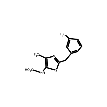 O=C(O)Nc1sc(Cc2cccc(C(F)(F)F)c2)nc1C(F)(F)F